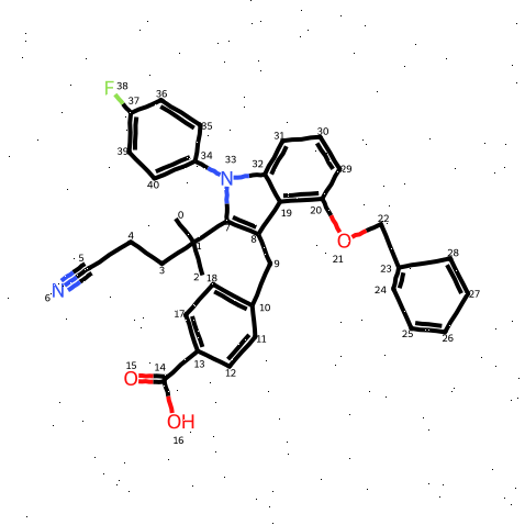 CC(C)(CCC#N)c1c(Cc2ccc(C(=O)O)cc2)c2c(OCc3ccccc3)cccc2n1-c1ccc(F)cc1